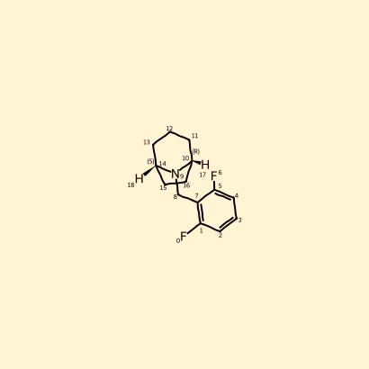 Fc1cccc(F)c1CN1[C@@H]2CCC[C@H]1CC2